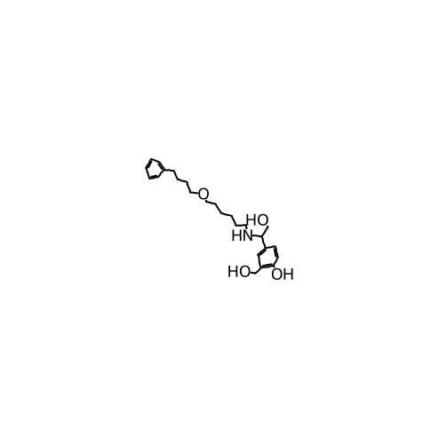 OCc1cc(C(CO)NCCCCCCOCCCCc2ccccc2)ccc1O